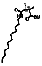 CCCCCCCCCCCCNC(=O)[C@H](C)[C@@H](C)C(=O)O